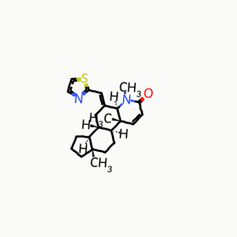 CN1C(=O)C=C[C@]2(C)[C@H]3CC[C@]4(C)CCC[C@H]4[C@@H]3CC(=Cc3nccs3)[C@@H]12